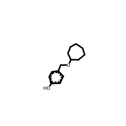 Oc1ccc(COC2CCCCCC2)cc1